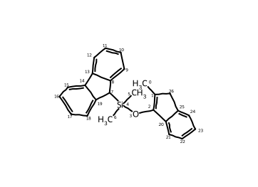 CC1=C(O[Si](C)(C)C2c3ccccc3-c3ccccc32)c2ccccc2C1